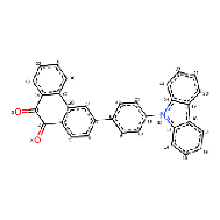 O=C1C(=O)c2ccc(-c3ccc(-n4c5ccccc5c5ccccc54)cc3)cc2-c2ccccc21